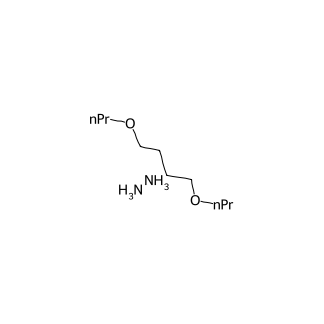 CCCOCCCCOCCC.N.N